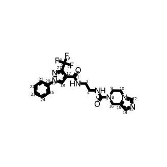 O=C(NCCNC(=O)N1CCn2cncc2C1)c1cn(-c2ccccc2)nc1C(F)(F)F